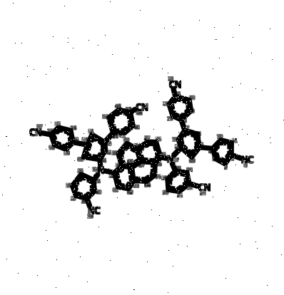 [C-]#[N+]c1ccc(-c2cc(-c3ccc(C#N)cc3)cc(N(c3cccc(C#N)c3)c3ccc4ccc5c(N(c6cccc([N+]#[C-])c6)c6cc(-c7ccc(C#N)cc7)cc(-c7ccc([N+]#[C-])cc7)c6)ccc6ccc3c4c65)c2)cc1